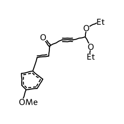 CCOC(C#CC(=O)C=Cc1ccc(OC)cc1)OCC